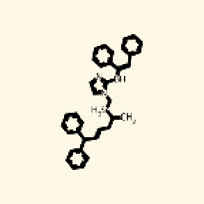 CC(CC=CC(c1ccccc1)c1ccccc1)[SiH2]Cn1ccnc1BC(=Cc1ccccc1)c1ccccc1